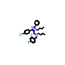 CCCCN(Cc1ccc(F)cc1F)Cc1c(-c2ccc(Cl)cc2)nc(-c2ccccc2)n1CCCC